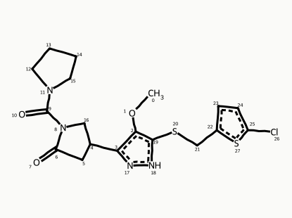 COc1c(C2CC(=O)N(C(=O)N3CCCC3)C2)n[nH]c1SCc1ccc(Cl)s1